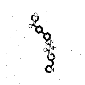 O=C(Nc1nc2ccc(-c3ccc(C(=O)N4CCOCC4)cc3)cc2s1)N1CCC(=Cc2ccccn2)CC1